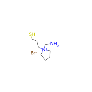 NC[N+]1(CCCS)CCCC1.[Br-]